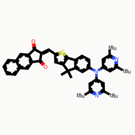 CC(C)(C)c1cc(N(c2cc(C(C)(C)C)nc(C(C)(C)C)c2)c2ccc3c(c2)C(C)(C)c2cc(C=C4C(=O)c5cc6ccccc6cc5C4=O)sc2-3)cc(C(C)(C)C)n1